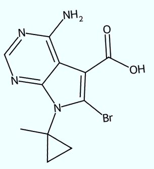 CC1(n2c(Br)c(C(=O)O)c3c(N)ncnc32)CC1